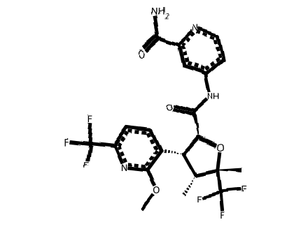 COc1nc(C(F)(F)F)ccc1[C@@H]1[C@@H](C(=O)Nc2ccnc(C(N)=O)c2)O[C@](C)(C(F)(F)F)[C@@H]1C